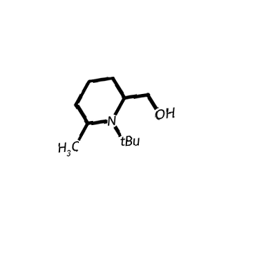 CC1CCCC(CO)N1C(C)(C)C